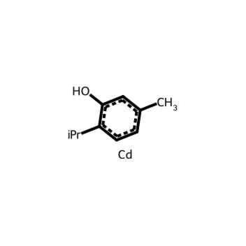 Cc1ccc(C(C)C)c(O)c1.[Cd]